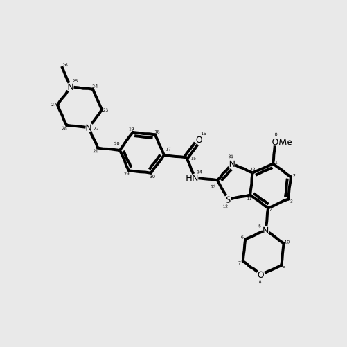 COc1ccc(N2CCOCC2)c2sc(NC(=O)c3ccc(CN4CCN(C)CC4)cc3)nc12